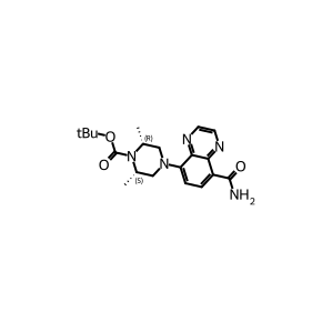 C[C@@H]1CN(c2ccc(C(N)=O)c3nccnc23)C[C@H](C)N1C(=O)OC(C)(C)C